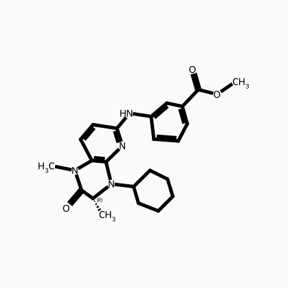 COC(=O)c1cccc(Nc2ccc3c(n2)N(C2CCCCC2)[C@H](C)C(=O)N3C)c1